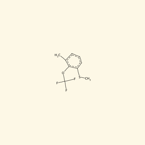 [CH2]c1cccc(SC)c1OC(F)(F)F